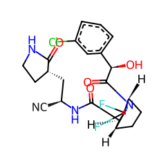 N#C[C@@H](C[C@@H]1CCNC1=O)NC(=O)[C@@H]1[C@H]2CC[C@H](CC2(F)F)N1C(=O)[C@H](O)c1cccc(Cl)c1